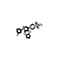 CC(C)S(=O)(=O)N1CCN(c2cnn(-c3cccc(F)c3)c(=O)c2OC2CC=CC2)CC1